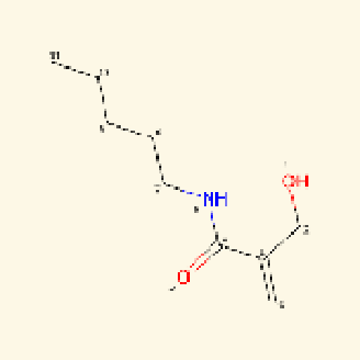 C=C(CO)C(=O)NCCCCC